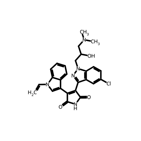 C=Cn1cc(C2=C(c3nn(CC(O)CN(C)C)c4ccc(Cl)cc34)C(=O)NC2=O)c2ccccc21